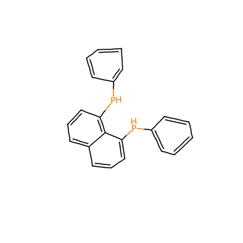 c1ccc(Pc2cccc3cccc(Pc4ccccc4)c23)cc1